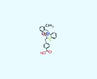 Cc1cccc(C)c1CN1C(=O)C(Cc2ccc(C(=O)O)cc2)Sc2ccccc21